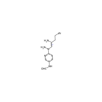 CC(C)CC/C(N)=C/N(N)c1ccc(NC=O)cn1